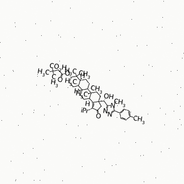 Cc1ccc(-c2nnc([C@@H](O)[C@@]34CC[C@]5(C)[C@H](CC[C@@H]6[C@@]7(C)CC[C@H](OC(=O)CC(C)(C)C(=O)O)C(C)(C)[C@@H]7CC[C@]65C)C3=C(C(C)C)C(=O)C4)n2C)cc1